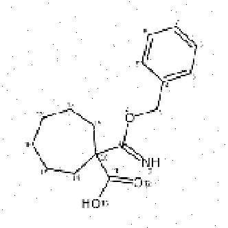 N=C(OCc1ccccc1)C1(C(=O)O)CCCCCC1